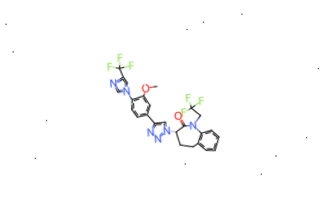 COc1cc(-c2cn([C@H]3CCc4ccccc4N(CC(F)(F)F)C3=O)nn2)ccc1-n1cnc(C(F)(F)F)c1